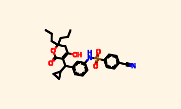 CCCC1(CCC)CC(O)=C(C(c2cccc(NS(=O)(=O)c3ccc(C#N)cc3)c2)C2CC2)C(=O)O1